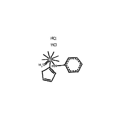 Cl.Cl.[CH3][Ti]([CH3])([CH3])([CH3])([CH3])([CH3])(=[SiH2])([NH]c1ccccc1)[C]1=CC=CC1